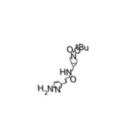 CC(C)(C)OC(=O)N1CC2C(CNC(=O)/C=C/c3ccc(N)nc3)C2C1